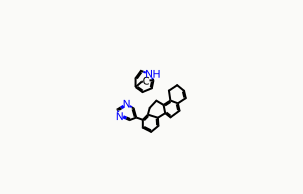 C1=CC2=CC=C(CC2)N1.C1=Cc2ccc3c(c2CC1)CCc1c(-c2cncnc2)cccc1-3